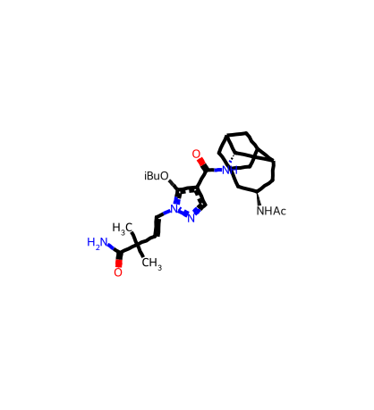 CC(=O)N[C@H]1CC2CC3CC(C2)[C@@H](NC(=O)c2cnn(/C=C/C(C)(C)C(N)=O)c2OCC(C)C)C3C1